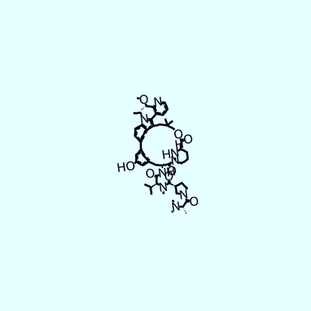 CCn1c(-c2cccnc2[C@H](C)OC)c2c3cc(ccc31)-c1cc(O)cc(c1)C[C@H](NC(=O)[C@H](C(C)C)N(C)C(=O)[C@H]1CCN(C(=O)[C@H](C)N(C)C)C1)C(=O)N1CCC[C@H](N1)C(=O)OCC(C)(C)C2